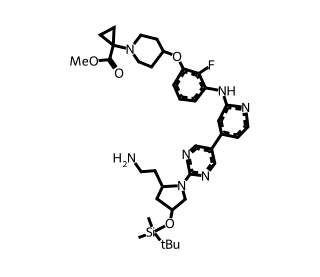 COC(=O)C1(N2CCC(Oc3cccc(Nc4cc(-c5cnc(N6CC(O[Si](C)(C)C(C)(C)C)CC6CCN)nc5)ccn4)c3F)CC2)CC1